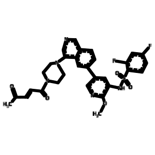 COc1ncc(-c2ccc3cncc(N4CCN(C(=O)C=CC(C)=O)CC4)c3c2)cc1NS(=O)(=O)c1ccc(F)cc1F